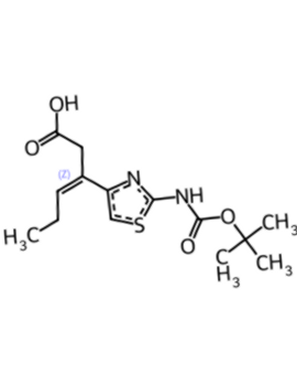 CC/C=C(/CC(=O)O)c1csc(NC(=O)OC(C)(C)C)n1